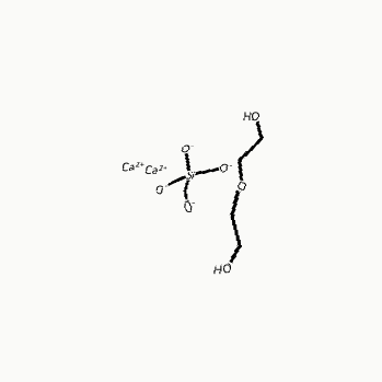 OCCOCCO.[Ca+2].[Ca+2].[O-][Si]([O-])([O-])[O-]